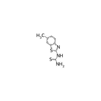 Cc1ccc2nc(NC(N)=S)sc2c1